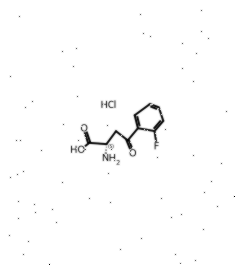 Cl.N[C@@H](CC(=O)c1ccccc1F)C(=O)O